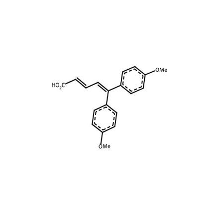 COc1ccc(C(=C/C=C/C(=O)O)c2ccc(OC)cc2)cc1